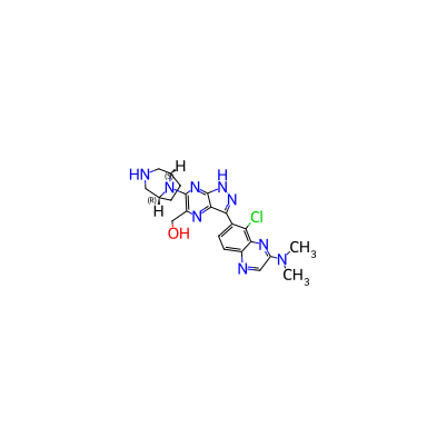 CN(C)c1cnc2ccc(-c3n[nH]c4nc(N5[C@@H]6CC[C@H]5CNC6)c(CO)nc34)c(Cl)c2n1